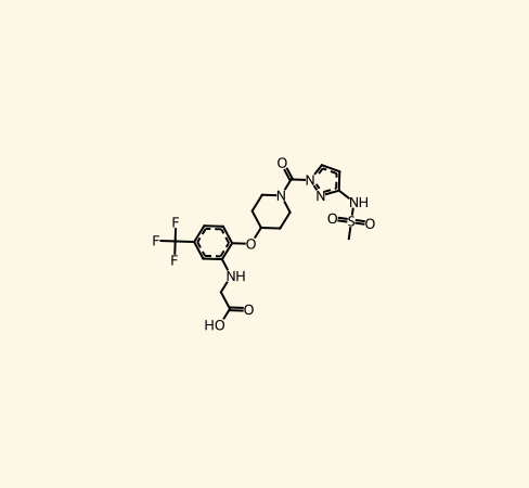 CS(=O)(=O)Nc1ccn(C(=O)N2CCC(Oc3ccc(C(F)(F)F)cc3NCC(=O)O)CC2)n1